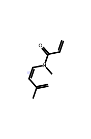 C=CC(=O)N(C)/C=C\C(=C)C